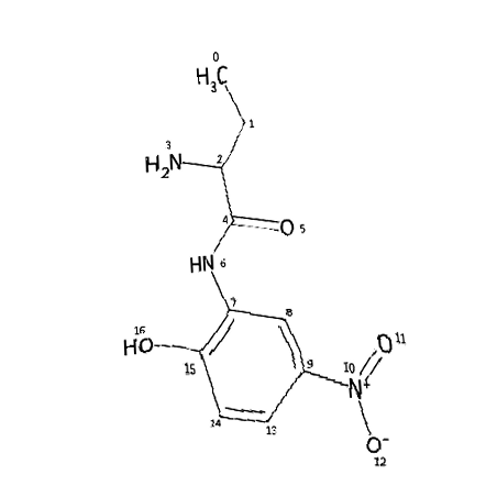 CCC(N)C(=O)Nc1cc([N+](=O)[O-])ccc1O